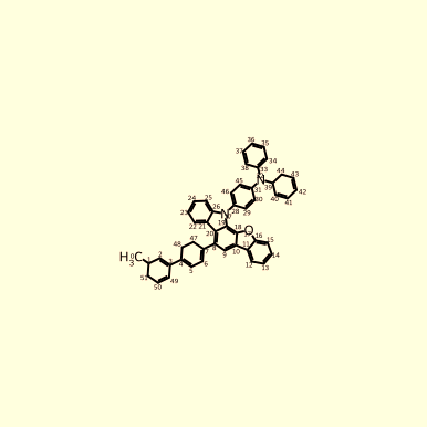 CC1C=C(C2=CC=C(c3cc4c5ccccc5oc4c4c3c3ccccc3n4-c3ccc(N(c4ccccc4)C4C=CC=CC4)cc3)CC2)C=CC1